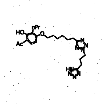 CCCc1c(OCCCCCCc2nnn(CCCc3nnn[nH]3)n2)ccc(C(C)=O)c1O